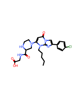 CCCCCn1c(N2CCNC(C(=O)NCC(=O)O)C2)cc(=O)n2cc(-c3ccc(Cl)cc3)nc12